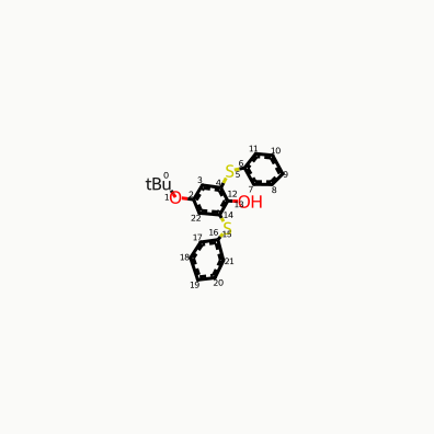 CC(C)(C)Oc1cc(Sc2ccccc2)c(O)c(Sc2ccccc2)c1